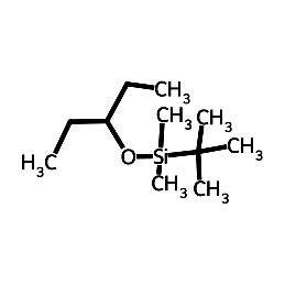 CCC(CC)O[Si](C)(C)C(C)(C)C